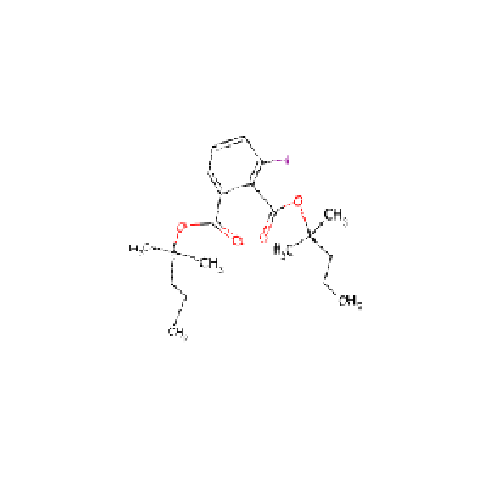 CCCC(C)(C)OC(=O)c1cccc(I)c1C(=O)OC(C)(C)CCC